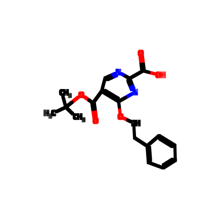 CC(C)(C)OC(=O)c1cnc(C(=O)O)nc1OBCc1ccccc1